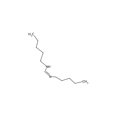 CCCCC/N=[C]\NCCCCC